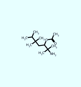 CC(=O)OC(CC(C)(C)C(C)C)C(C)(C)N